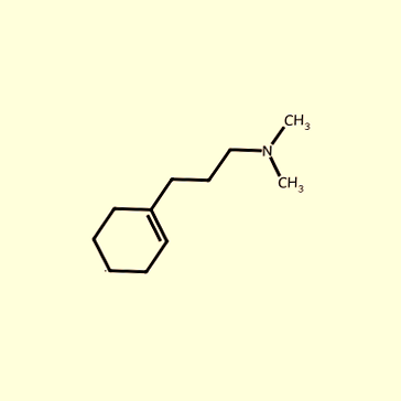 CN(C)CCCC1=CC[CH]CC1